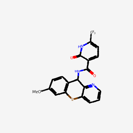 COc1ccc2c(c1)Sc1cccnc1C2NC(=O)c1ccc(C(F)(F)F)[nH]c1=O